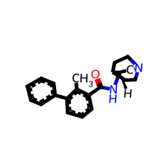 Cc1c(C(=O)N[C@H]2CN3CCC2CC3)cccc1-c1ccccc1